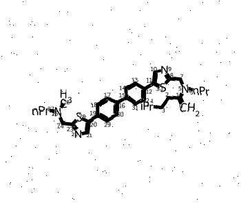 C=C(CCC(C)C)N(CCC)Cc1ncc(-c2ccc(-c3ccc(-c4cnc(CN(C)CCC)s4)cc3)cc2)s1